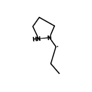 CC[CH]N1CCCN1